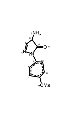 COc1ccc(N2N=CC(N)C2=O)cc1